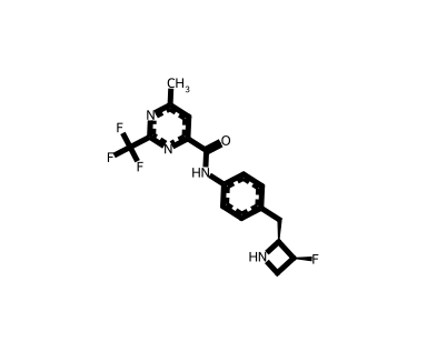 Cc1cc(C(=O)Nc2ccc(C[C@@H]3NC[C@@H]3F)cc2)nc(C(F)(F)F)n1